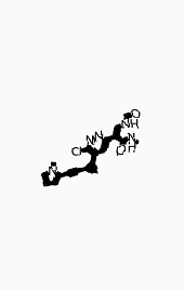 CNC(=O)/C(=C\NC=O)c1cc(C2CC2C#Cc2cccn2C)c(Cl)nn1